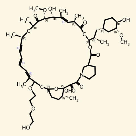 CO[C@@H]1C[C@H](C[C@H](C)[C@@H]2CC(=O)[C@H](C)/C=C(\C)[C@@H](O)[C@@H](OC)C(=O)[C@H](C)C[C@H](C)/C=C/C=C/C=C(\C)C(OCCOCCO)C[C@H]3CC[C@@H](C)[C@](O)(O3)C(=O)C(=O)N3CCCC(C3)C(=O)O2)CC[C@H]1O